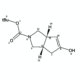 CC(C)(C)OC(=O)N1C[C@H]2CC(O)=C[C@H]2C1